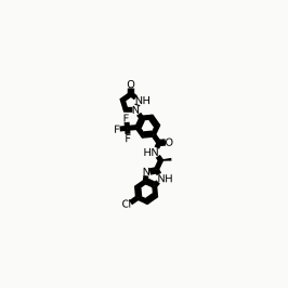 C[C@H](NC(=O)c1ccc(N2CCC(=O)N2)c(C(F)(F)F)c1)c1nc2cc(Cl)ccc2[nH]1